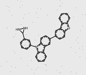 c1cc(C2NN2)cc(-n2c3ccccc3c3cc(-c4ccc5sc6ccccc6c5c4)ccc32)c1